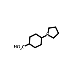 O=C(O)C1CCC(N2CCCC2)CC1